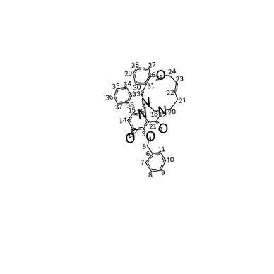 O=C1c2c(OCc3ccccc3)c(=O)ccn2N2CN1CC/C=C/COc1ccccc1[C@H]2c1ccccc1